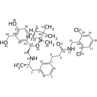 C[C@H](Cc1cccc(CCC(=O)NCc2c(Cl)cccc2Cl)c1)NC[C@H](O[Si](C)(C)C(C)(C)C)c1ccc(O)c(CO)c1